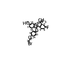 CC(F)(F)c1cc(F)ccc1-c1sc2cc(O)ccc2c1Oc1ccc(OCCBr)cc1